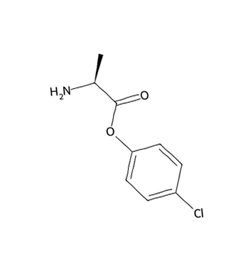 C[C@H](N)C(=O)Oc1ccc(Cl)cc1